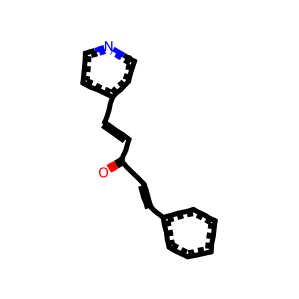 O=C(/C=C/c1ccccc1)/C=C/c1ccncc1